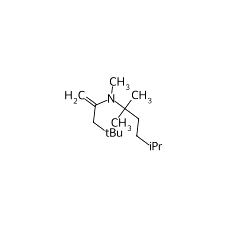 C=C(CC(C)(C)C)N(C)C(C)(C)CCC(C)C